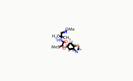 CON=CC(C)(C)NC(=O)C(Oc1ccc2scnc2c1)SC